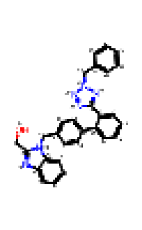 OCc1nc2ccccc2n1Cc1ccc(-c2ccccc2-c2nnn(Cc3ccccc3)n2)cc1